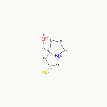 OCC12CCCN1CC(S)C2